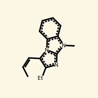 C/C=C\c1c(CC)nc2n(C)c3ccccc3n12